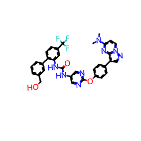 CN(C)c1ccn2ncc(-c3ccc(Oc4ncc(NC(=O)Nc5cc(C(F)(F)F)ccc5-c5cccc(CO)c5)cn4)cc3)c2n1